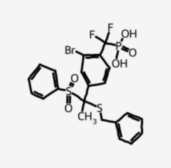 CC(SCc1ccccc1)(c1ccc(C(F)(F)P(=O)(O)O)c(Br)c1)S(=O)(=O)c1ccccc1